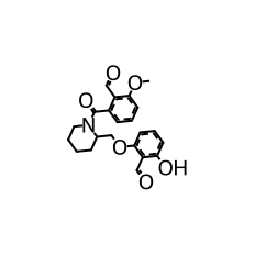 COc1cccc(C(=O)N2CCCCC2COc2cccc(O)c2C=O)c1C=O